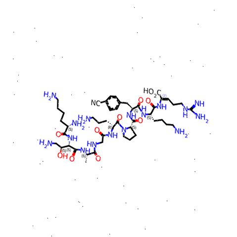 C[C@H](NC(=O)[C@@H](NC(=O)[C@@H](N)CCCCN)[C@@H](O)CN)C(=O)NCC(=O)N[C@H](CCCN)C(=O)N1CCC[C@H]1C(=O)N[C@@H](Cc1ccc(C#N)cc1)C(=O)N[C@@H](CCCCN)C(=O)N/C(=C\CCNC(=N)N)C(=O)O